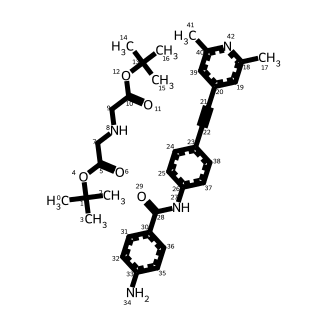 CC(C)(C)OC(=O)CNCC(=O)OC(C)(C)C.Cc1cc(C#Cc2ccc(NC(=O)c3ccc(N)cc3)cc2)cc(C)n1